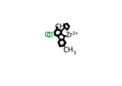 Cc1ccc2c(c1)[CH]([Zr+2])c1c-2ccc(C)c1C1=CC=CC1.[Cl-].[Cl-]